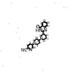 N#Cc1ccc(N2CCC(N3CCCC(c4nc5ccccc5c(=O)[nH]4)C3)CC2)cn1